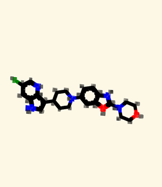 Fc1cnc2c(C3CCN(c4ccc5nc(N6CCOCC6)oc5c4)CC3)c[nH]c2c1